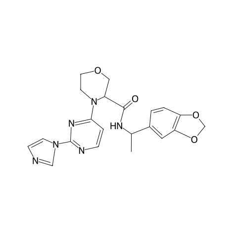 CC(NC(=O)C1COCCN1c1ccnc(-n2ccnc2)n1)c1ccc2c(c1)OCO2